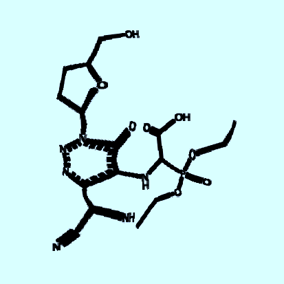 CCOP(=O)(OCC)C(Nc1c(C(=N)C#N)nnn(C2CCC(CO)O2)c1=O)C(=O)O